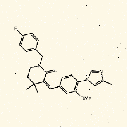 COc1cc(C=C2C(=O)N(Cc3ccc(F)cc3)CCC2(C)C)ccc1-n1cnc(C)c1